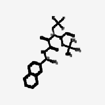 C[C@H](NC(=O)C(=O)[C@H](CC(F)(F)F)N(C=O)OC(C)(C)C)c1ccc2ccccc2c1